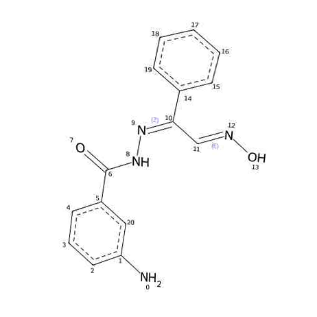 Nc1cccc(C(=O)N/N=C(\C=N\O)c2ccccc2)c1